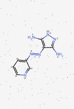 Nc1n[nH]c(N)c1/N=N/c1cccnc1